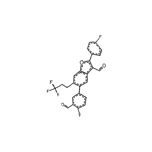 O=Cc1cc(-c2cc3c(C=O)c(-c4ccc(F)cc4)oc3cc2CCC(F)(F)F)ccc1F